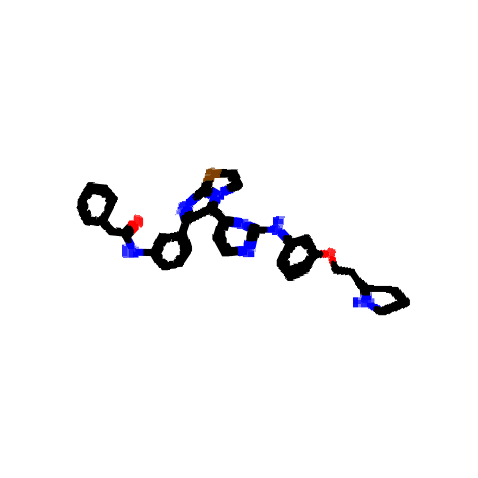 O=C(Cc1ccccc1)Nc1cccc(-c2nc3sccn3c2-c2ccnc(Nc3cccc(OCCC4CCCN4)c3)n2)c1